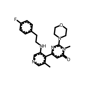 Cc1cncc(NCCc2ccc(F)cc2)c1-c1cc(=O)n(C)c(N2CCOCC2)n1